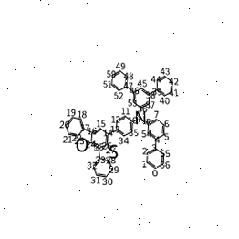 c1ccc(-c2cccc(N(c3ccc(-c4cc5c6ccccc6oc5c5c4sc4ccccc45)cc3)c3cc(-c4ccccc4)cc(-c4ccccc4)c3)c2)cc1